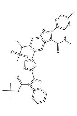 CNC(=O)c1c(-c2ccc(C)cc2)oc2cc(N(C)S(C)(=O)=O)c(-c3cnc(-c4cc5ccccc5n4C(=O)OC(C)(C)C)s3)cc12